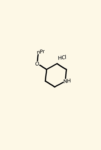 CCCOC1CCNCC1.Cl